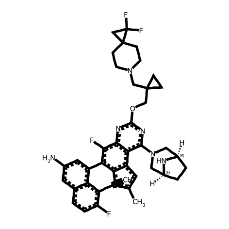 C#Cc1c(F)ccc2cc(N)cc(-c3c(F)c4nc(OCC5(CN6CCC7(CC6)CC7(F)F)CC5)nc(N5C[C@H]6CC[C@@H](C5)N6)c4c4cc(C)oc34)c12